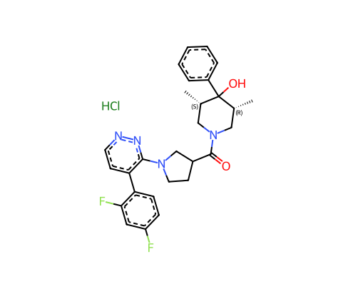 C[C@@H]1CN(C(=O)C2CCN(c3nnccc3-c3ccc(F)cc3F)C2)C[C@H](C)C1(O)c1ccccc1.Cl